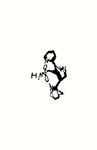 NS(=O)(=O)c1c(C2=NOCCO2)cnn1-c1ccccn1